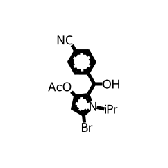 CC(=O)Oc1cc(Br)n(C(C)C)c1C(O)c1ccc(C#N)cc1